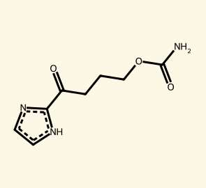 NC(=O)OCCCC(=O)c1ncc[nH]1